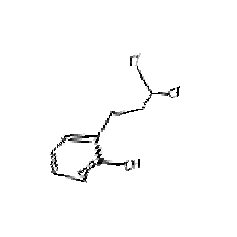 Oc1ccccc1CCC(Cl)Cl